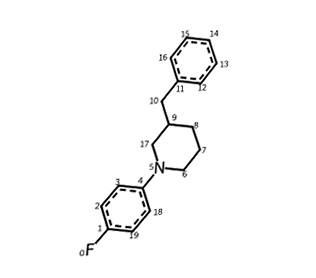 Fc1ccc(N2CCCC(Cc3ccccc3)C2)cc1